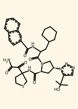 CC(C)(O)c1cnnn1[C@H]1C[C@@H](C(=O)NC2(C(=O)C(N)=O)CCSC2)N(C(=O)C(CC2CCCCC2)NC(=O)c2ccc3ccccc3c2)C1